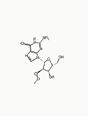 COO[C@@H]1[C@H](O)[C@@H](CO)O[C@H]1n1cnc2c(=O)[nH]c(N)nc21